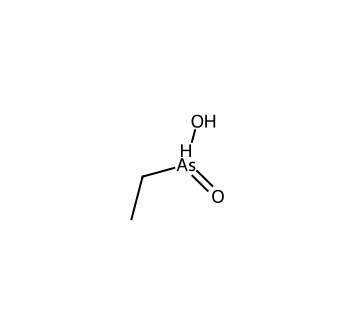 CC[AsH](=O)O